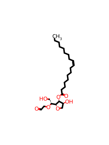 CCCCCCCC/C=C\CCCCCCCC(=O)O[C@H]1[C@@H]([C@@H](CO)OCC=O)OC[C@@H]1O